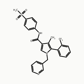 Cc1c(C(=O)Nc2ccc(S(C)(=O)=O)cc2)cn(Cc2cccnc2)c1-c1ccccc1C(F)(F)F